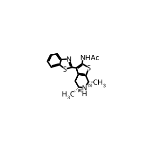 CC(=O)Nc1sc2c(c1-c1nc3ccccc3s1)C[C@@H](C)N[C@H]2C